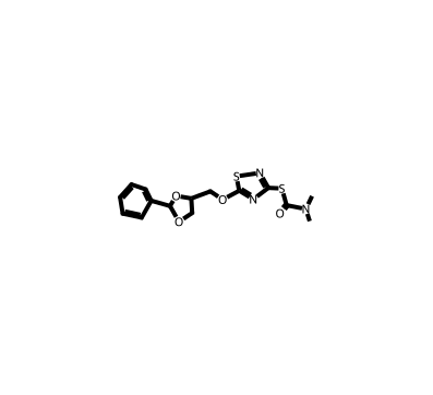 CN(C)C(=O)Sc1nsc(OCC2COC(c3ccccc3)O2)n1